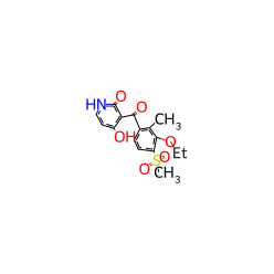 CCOc1c(S(C)(=O)=O)ccc(C(=O)c2c(O)cc[nH]c2=O)c1C